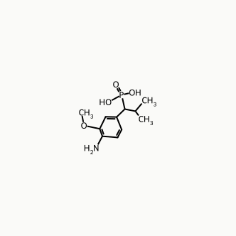 COc1cc(C(C(C)C)P(=O)(O)O)ccc1N